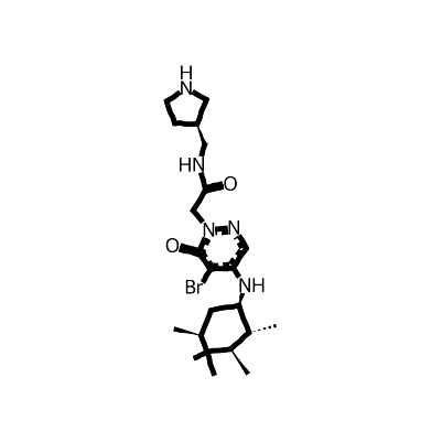 C[C@@H]1[C@@H](C)C(C)(C)[C@@H](C)C[C@H]1Nc1cnn(CC(=O)NC[C@H]2CCNC2)c(=O)c1Br